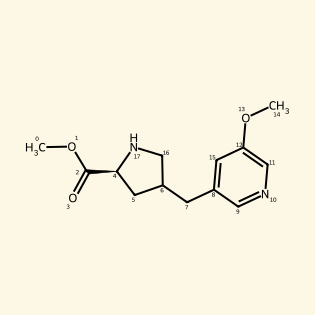 COC(=O)[C@@H]1CC(Cc2cncc(OC)c2)CN1